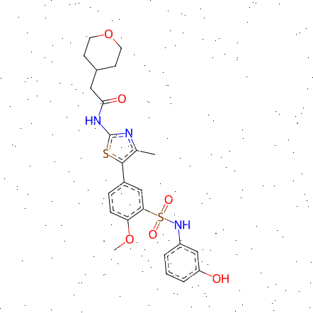 COc1ccc(-c2sc(NC(=O)CC3CCOCC3)nc2C)cc1S(=O)(=O)Nc1cccc(O)c1